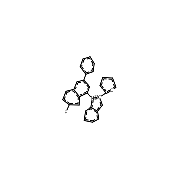 Fc1ccc2cc(-c3ccccc3)cc(-n3c4ccccc4c[13c]3-c3ccccc3)c2c1